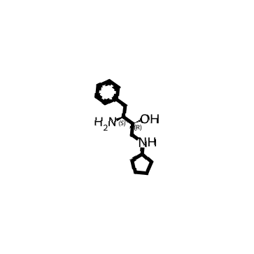 N[C@@H](Cc1ccccc1)[C@H](O)CNC1CCCC1